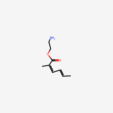 CC=CC=C(C)C(=O)OCCN